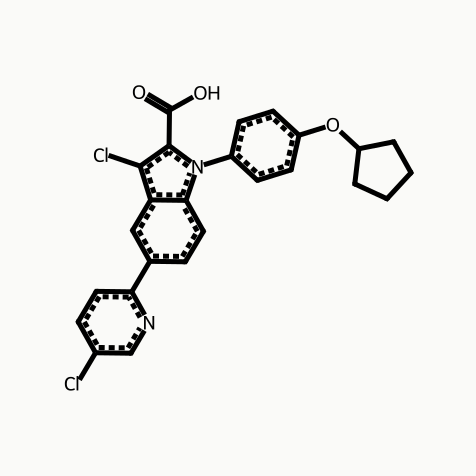 O=C(O)c1c(Cl)c2cc(-c3ccc(Cl)cn3)ccc2n1-c1ccc(OC2CCCC2)cc1